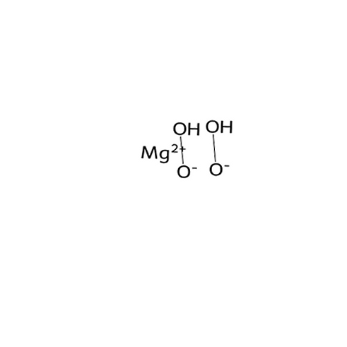 [Mg+2].[O-]O.[O-]O